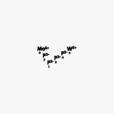 [Mo+6].[P-3].[P-3].[P-3].[P-3].[W+6]